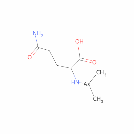 C[As](C)NC(CCC(N)=O)C(=O)O